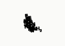 COc1c(C2CC2)c([C@@H](C)Nc2ncnc(N)c2C#N)nc2ccc(F)cc12